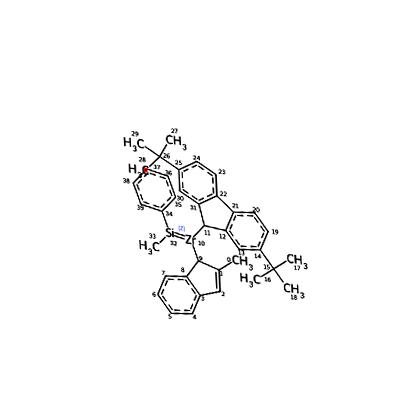 CC1=Cc2ccccc2[CH]1/[Zr]([CH]1c2cc(C(C)(C)C)ccc2-c2ccc(C(C)(C)C)cc21)=[Si](\C)c1ccccc1